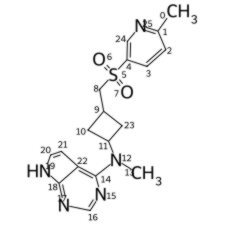 Cc1ccc(S(=O)(=O)CC2CC(N(C)c3ncnc4[nH]ccc34)C2)cn1